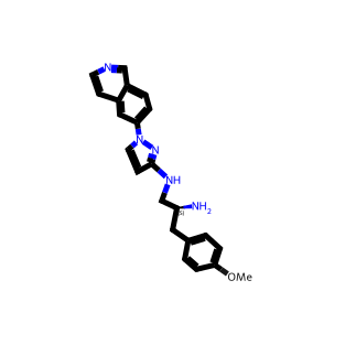 COc1ccc(C[C@H](N)CNc2ccn(-c3ccc4cnccc4c3)n2)cc1